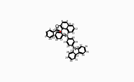 c1ccc(-c2nc3c(ccc4cccc(N(c5ccccc5)c5ccc(-n6c7ccccc7c7ccccc76)cc5)c43)o2)cc1